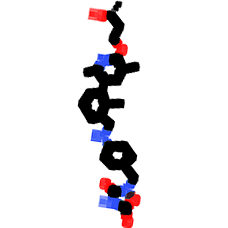 Cc1cc(-c2cccc(CNc3ccc(Cn4oc(=O)[nH]c4=O)cc3)c2C)c(C)nc1OCC[C@@H](C)O